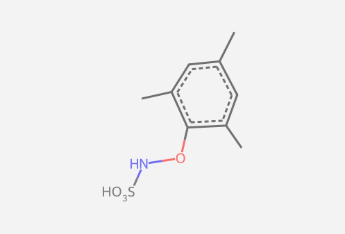 Cc1cc(C)c(ONS(=O)(=O)O)c(C)c1